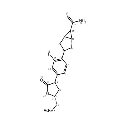 CC(=O)NC[C@H]1CN(c2ccc(C3CC4C(C3)C4C(N)=S)c(F)c2)C(=O)O1